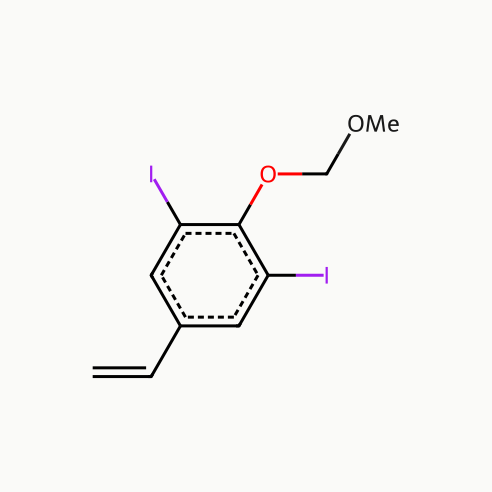 C=Cc1cc(I)c(OCOC)c(I)c1